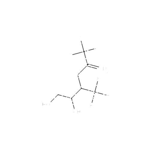 C=C(CC(C(C)CO)C(F)(F)F)C(F)(F)F